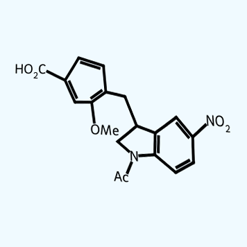 COc1cc(C(=O)O)ccc1CC1CN(C(C)=O)c2ccc([N+](=O)[O-])cc21